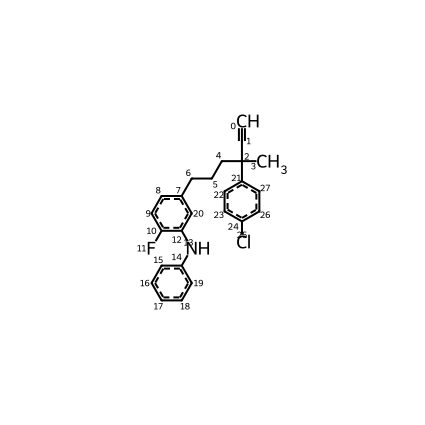 C#CC(C)(CCCc1ccc(F)c(Nc2ccccc2)c1)c1ccc(Cl)cc1